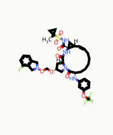 CC1(S(=O)(=O)NC(=O)[C@@]23C[C@@H]2/C=C\CCCCC[C@H](Nc2cccc(OC(F)(F)F)c2)C(=O)N2C[C@H](OCON4Cc5cccc(F)c5C4)C[C@H]2C(=O)N3)CC1